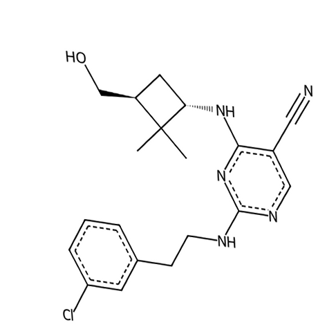 CC1(C)[C@@H](CO)C[C@@H]1Nc1nc(NCCc2cccc(Cl)c2)ncc1C#N